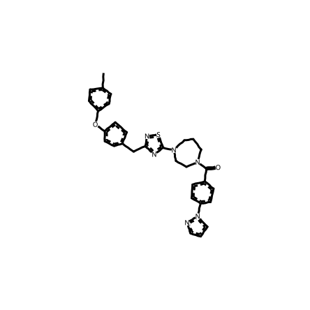 Cc1ccc(Oc2ccc(Cc3nsc(N4CCCN(C(=O)c5ccc(-n6cccn6)cc5)CC4)n3)cc2)cc1